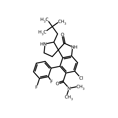 CN(C)C(=O)c1c(Cl)cc2c(c1-c1cccc(F)c1F)C1(CCNC1CC(C)(C)C)C(=O)N2